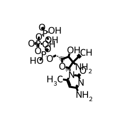 C#CC1(N)C(O)[C@@H](COP(=O)(O)OP(=O)(O)OP(=O)(O)O)O[C@H]1n1c(C)cc(N)nc1=O